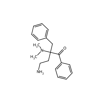 CN(C)C(CCN)(Cc1ccccc1)C(=O)c1ccccc1